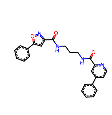 O=C(NCCCNC(=O)c1cc(-c2ccccc2)on1)c1cc(-c2ccccc2)ccn1